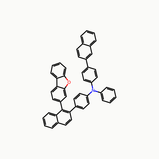 c1ccc(N(c2ccc(-c3ccc4ccccc4c3)cc2)c2ccc(-c3ccc4ccccc4c3-c3ccc4c(c3)oc3ccccc34)cc2)cc1